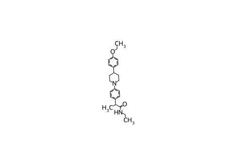 CCNC(=O)C(C)c1ccc(N2CCC(c3ccc(OCC)cc3)CC2)cc1